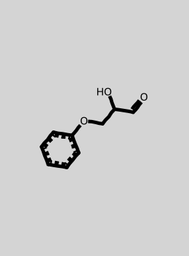 O=CC(O)COc1ccccc1